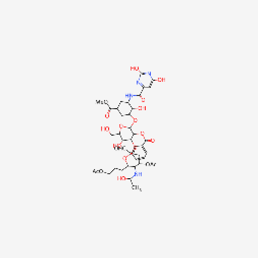 COC(=O)C1CC(NC(=O)c2cc(O)nc(O)n2)C(O)C(OC2OC(CO)C(O)C(OC3(C=O)CC(OC(C)=O)C(NC(C)O)C(CCCOC(C)=O)O3)C2OC(=O)c2ccccc2)C1